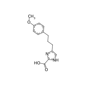 COc1ccc(CCCc2c[nH]c(C(=O)O)n2)cc1